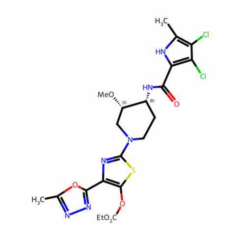 CCOC(=O)Oc1sc(N2CC[C@@H](NC(=O)c3[nH]c(C)c(Cl)c3Cl)[C@@H](OC)C2)nc1-c1nnc(C)o1